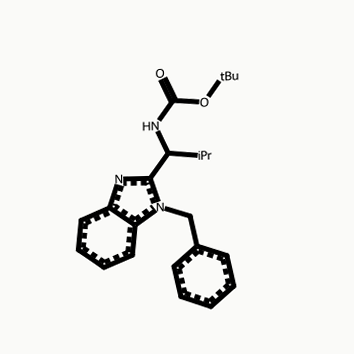 CC(C)C(NC(=O)OC(C)(C)C)c1nc2ccccc2n1Cc1ccccc1